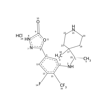 C[C@H](Nc1cc(-c2n[nH]c(=O)o2)cc(F)c1C(F)(F)F)C1(C)CCNCC1.Cl